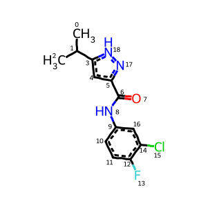 CC(C)c1cc(C(=O)Nc2ccc(F)c(Cl)c2)n[nH]1